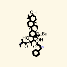 C/C=C(/C)C(=O)O[C@H](C)[C@H](OC(=O)/C=C\c1ccccc1)C12C(O)O[C@@]3(CCC4[C@@]5(C)CC[C@H](O)C(C)(C)C5CC[C@@]4(C)C3C[C@H]1O)C2CC(C)(C)C